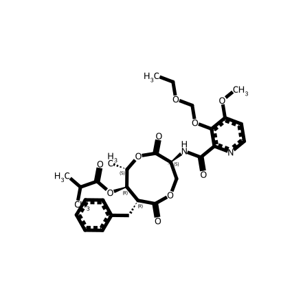 CCOCOc1c(OC)ccnc1C(=O)N[C@H]1COC(=O)[C@H](Cc2ccccc2)[C@@H](OC(=O)C(C)C)[C@H](C)OC1=O